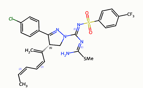 C=C(/C=C\C=C/C)[C@H]1CN(C(/N=C(\N)SC)=N/S(=O)(=O)c2ccc(C(F)(F)F)cc2)N=C1c1ccc(Cl)cc1